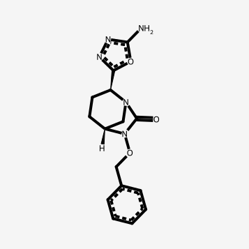 Nc1nnc([C@@H]2CC[C@@H]3CN2C(=O)N3OCc2ccccc2)o1